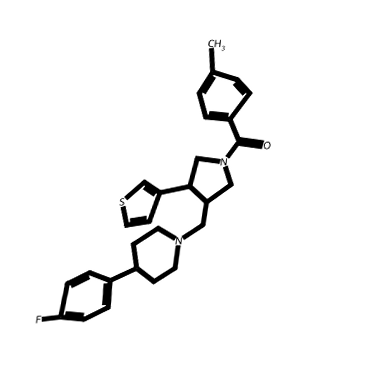 Cc1ccc(C(=O)N2CC(CN3CCC(c4ccc(F)cc4)CC3)C(c3ccsc3)C2)cc1